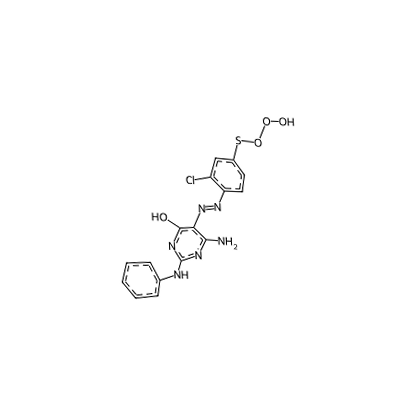 Nc1nc(Nc2ccccc2)nc(O)c1/N=N/c1ccc(SOOO)cc1Cl